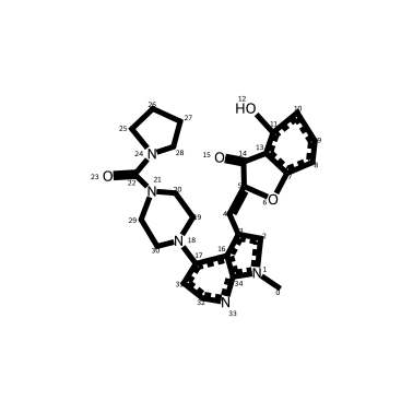 Cn1cc(/C=C2\Oc3cccc(O)c3C2=O)c2c(N3CCN(C(=O)N4CCCC4)CC3)ccnc21